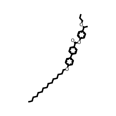 CCCCCCCCCCCCCCCOc1ccc(-c2ccc(C(=O)Oc3ccc(C(C)OCCC)cc3)cc2)cc1